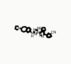 N#Cc1cccc(-c2nnc(-n3nc(Nc4ccc5c(c4)CCC(N4CCCC4)CC5)nc3N)c3c2C2CCC3CC2)c1